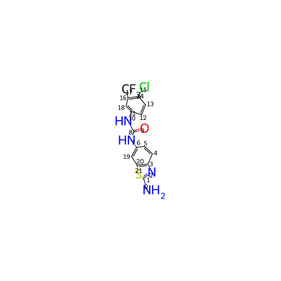 Nc1nc2ccc(NC(=O)Nc3ccc(Cl)c(C(F)(F)F)c3)cc2s1